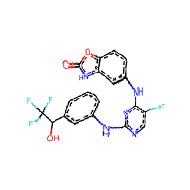 O=c1[nH]c2cc(Nc3nc(Nc4cccc(C(O)C(F)(F)F)c4)ncc3F)ccc2o1